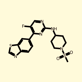 CS(=O)(=O)N1CCC(Nc2ncc(F)c(-c3ccc4ncsc4c3)n2)CC1